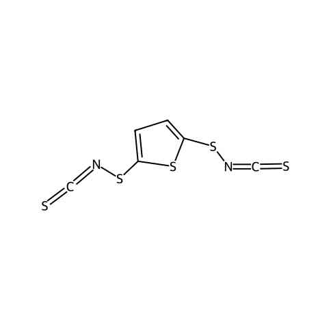 S=C=NSc1ccc(SN=C=S)s1